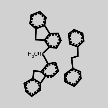 [CH2]=[Ti]([c]1cccc2c1Cc1ccccc1-2)[c]1cccc2c1Cc1ccccc1-2.c1ccc(CCc2ccccc2)cc1